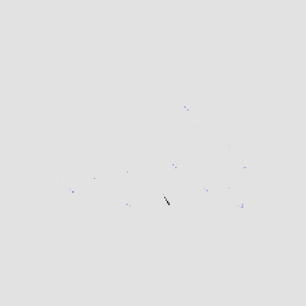 Cc1nc(N)nc(N[C@@H](C)c2nc3ccn(C)c3cc2C2=CCC(C)CC2)c1C#N